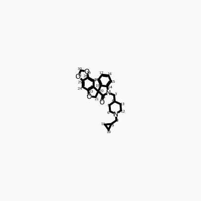 O=C1N(CC2CCN(CC3CC3)CC2)c2ccccc2C12COc1cc3c(cc12)OCO3